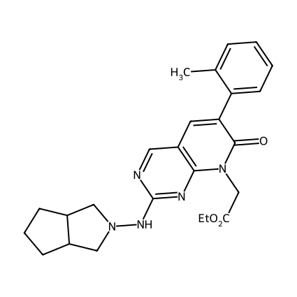 CCOC(=O)Cn1c(=O)c(-c2ccccc2C)cc2cnc(NN3CC4CCCC4C3)nc21